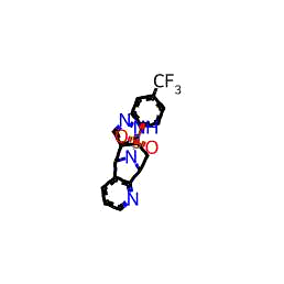 O=S(=O)(c1ccc(C(F)(F)F)cc1)N1C2Cc3[nH]ncc3C1c1cccnc12